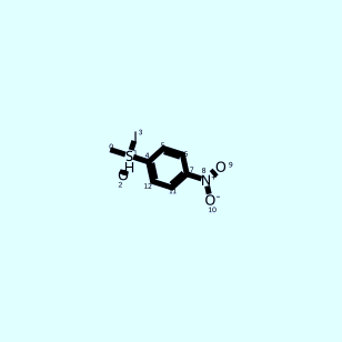 C[SH](=O)(I)c1ccc([N+](=O)[O-])cc1